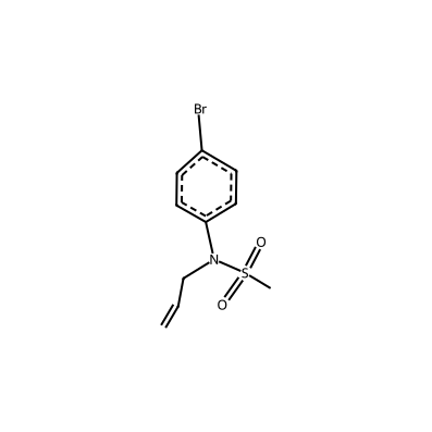 C=CCN(c1ccc(Br)cc1)S(C)(=O)=O